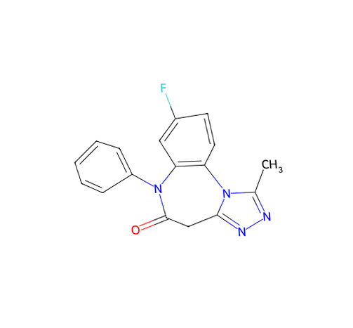 Cc1nnc2n1-c1ccc(F)cc1N(c1ccccc1)C(=O)C2